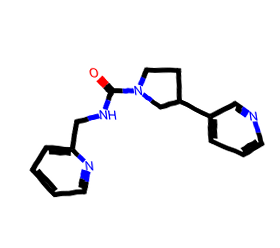 O=C(NCc1ccccn1)N1CCC(c2cccnc2)C1